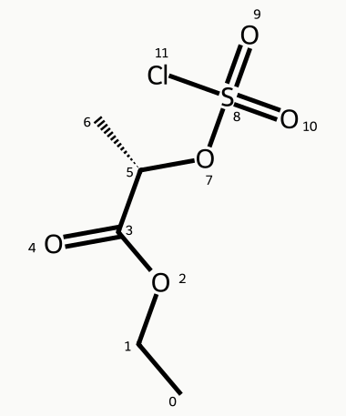 CCOC(=O)[C@H](C)OS(=O)(=O)Cl